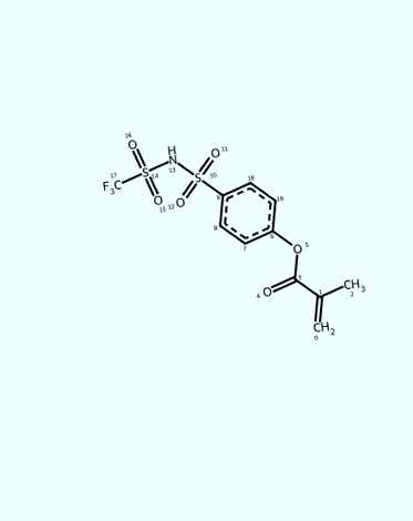 C=C(C)C(=O)Oc1ccc(S(=O)(=O)NS(=O)(=O)C(F)(F)F)cc1